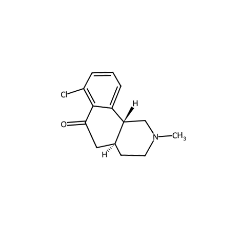 CN1CC[C@H]2CC(=O)c3c(Cl)cccc3[C@@H]2C1